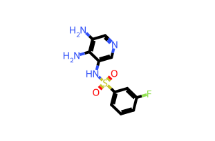 Nc1cncc(NS(=O)(=O)c2cccc(F)c2)c1N